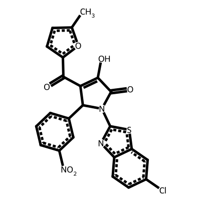 Cc1ccc(C(=O)C2=C(O)C(=O)N(c3nc4ccc(Cl)cc4s3)C2c2cccc([N+](=O)[O-])c2)o1